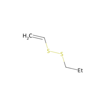 C=CSSCCC